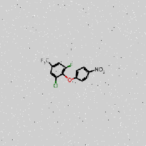 O=[N+]([O-])c1ccc(Oc2c(F)cc(C(F)(F)F)cc2Cl)cc1